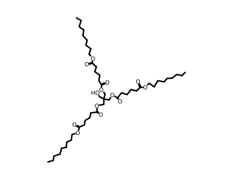 CCCCCCCCCOC(=O)CCCCC(=O)OCC(CO)(COC(=O)CCCCC(=O)OCCCCCCCCC)COC(=O)CCCCC(=O)OCCCCCCCCC